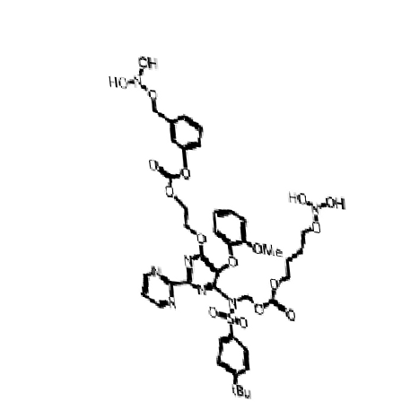 COc1ccccc1Oc1c(OCCOC(=O)Oc2cccc(CON(O)O)c2)nc(-c2ncccn2)nc1N(COC(=O)OCCCCON(O)O)S(=O)(=O)c1ccc(C(C)(C)C)cc1